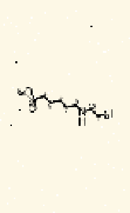 COC(=O)CCCCCNCCCl